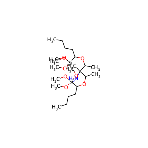 CCCCC(OC(C)C(C)(N)C(C)OC(CCCC)[Si](OC)(OC)OC)[Si](OC)(OC)OC